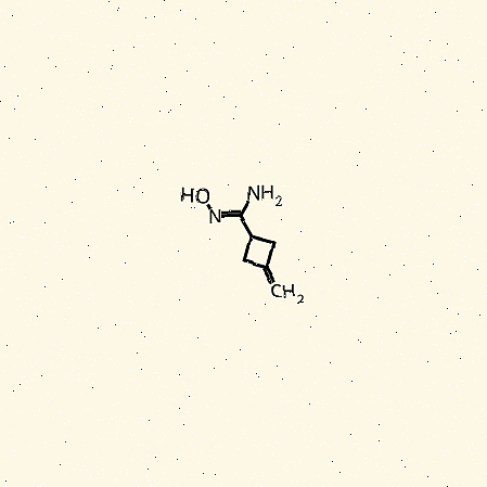 C=C1CC(C(N)=NO)C1